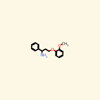 COc1ccccc1OCCC(N)c1ccccc1